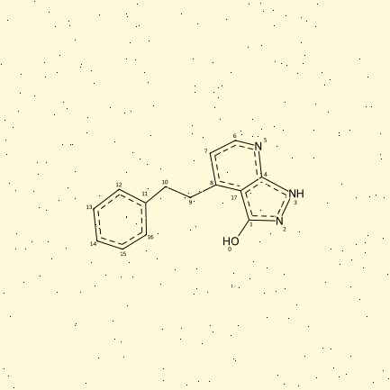 Oc1n[nH]c2nccc(CCc3ccccc3)c12